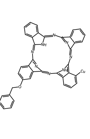 [Cu][c]1cccc2c3nc4nc(nc5[nH]c(nc6nc(nc([nH]3)c12)-c1ccccc1-6)c1ccccc51)-c1ccc(OCc2ccccc2)cc1-4